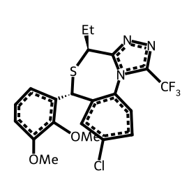 [CH2]C[C@@H]1S[C@@H](c2cccc(OC)c2OC)c2cc(Cl)ccc2-n2c1nnc2C(F)(F)F